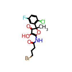 CC1(c2cc(F)ccc2Cl)OC(NC(=O)CCCBr)=C(O)C1=O